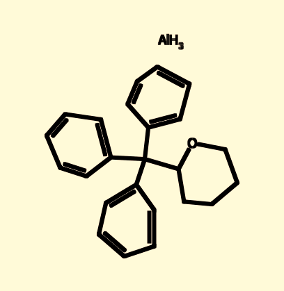 [AlH3].c1ccc(C(c2ccccc2)(c2ccccc2)C2CCCCO2)cc1